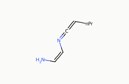 CCCC=C=N/C=C\N